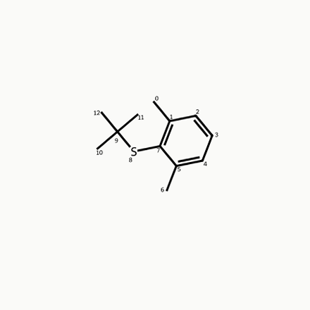 Cc1cccc(C)c1SC(C)(C)C